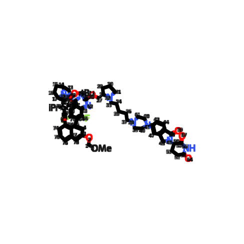 COCOc1cc(-c2c(F)cc3c(N4CC5CCC(C4)N5C(=O)OC(C)(C)C)nc(OC[C@@H]4CCCN4CCCCCN4CCN(c5ccc6c(c5)CN([C@H]5CCC(=O)NC5=O)C6=O)CC4)nc3c2F)c2c(C#C[Si](C(C)C)(C(C)C)C(C)C)cccc2c1